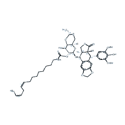 CCCC/C=C\C/C=C\CCCCCCCCNC(=S)O[C@H]1[C@H](O[C@@H]2c3cc4c(cc3[C@@H](c3cc(OC)c(O)c(OC)c3)[C@H]3C(=O)OC[C@@H]32)OCO4)O[C@@H]2CO[C@@H](C)OC2[C@@H]1O